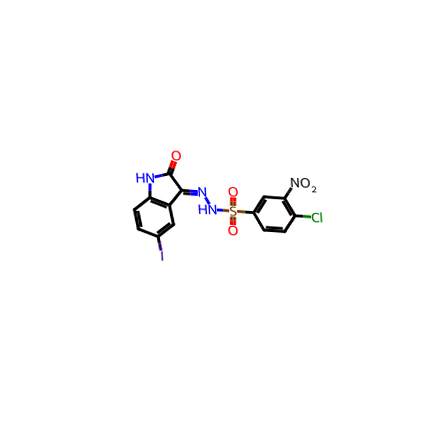 O=C1Nc2ccc(I)cc2C1=NNS(=O)(=O)c1ccc(Cl)c([N+](=O)[O-])c1